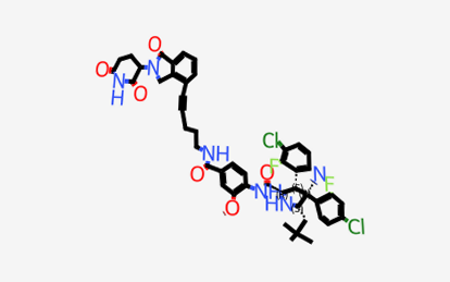 COc1cc(C(=O)NCCCC#Cc2cccc3c2CN(C2CCC(=O)NC2=O)C3=O)ccc1NC(=O)[C@@H]1N[C@@H](CC(C)(C)C)[C@](C#N)(c2ccc(Cl)cc2F)[C@H]1c1cccc(Cl)c1F